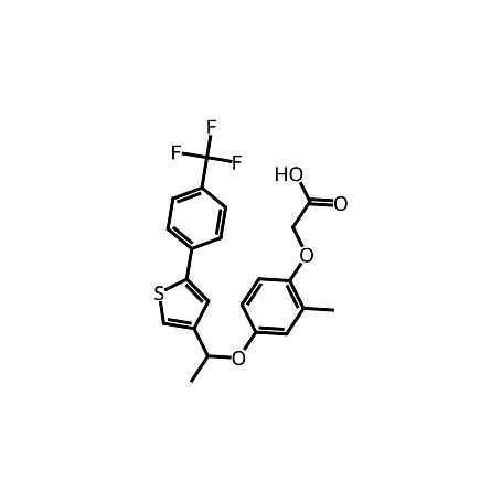 Cc1cc(OC(C)c2csc(-c3ccc(C(F)(F)F)cc3)c2)ccc1OCC(=O)O